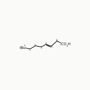 CC(C)(C)CCC/C=C/CC(=O)O